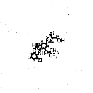 CCN1CN(c2cc(O[C@H](C)C(F)(F)F)c3c(Nc4c(F)cccc4Cl)n[nH]c3c2)N=C1CO